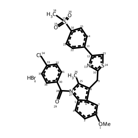 Br.COc1ccc2c(c1)c(Cc1nc(-c3ccc(S(C)(=O)=O)cc3)cs1)c(C)n2C(=O)c1ccc(Cl)cc1